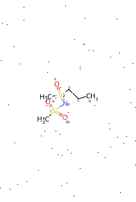 CCCS(C)(=O)=NS(C)(=O)=O